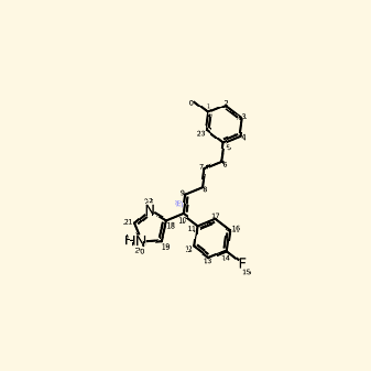 Cc1cccc(CCC/C=C(\c2ccc(F)cc2)c2c[nH]cn2)c1